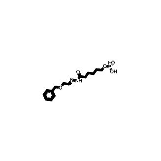 O=C(CCCCCO[PH](=O)O)N/N=C/COCc1ccccc1